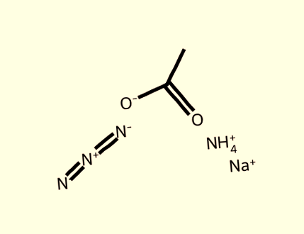 CC(=O)[O-].[N-]=[N+]=[N-].[NH4+].[Na+]